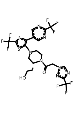 O=C(Cn1cnc(C(F)(F)F)n1)N1CCN(c2sc(C(F)(F)F)nc2-c2cnc(C(F)(F)F)nc2)C[C@H]1CCO